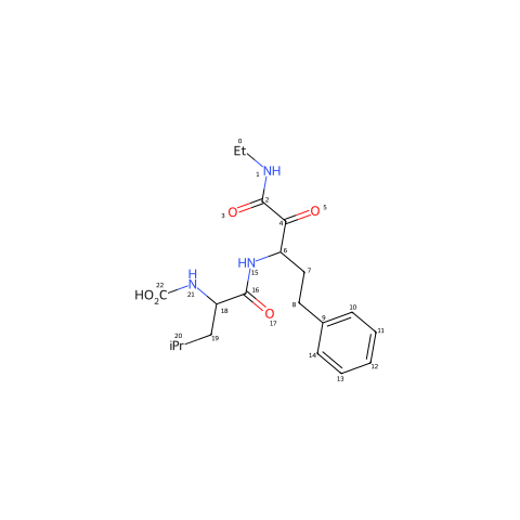 CCNC(=O)C(=O)C(CCc1ccccc1)NC(=O)C(CC(C)C)NC(=O)O